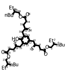 CCCCC(CC)COC(=O)CCC(=S)Cc1cc(CC(=S)CCC(=O)OCC(CC)CCCC)c(O)c(CC(=S)CCC(=O)OCC(CC)CCCC)c1